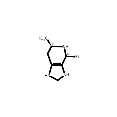 CC[C@@H]1N[C@H](C(=O)O)CC2=C1NCN2